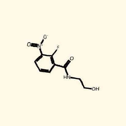 O=C(NCCO)c1cccc([N+](=O)[O-])c1F